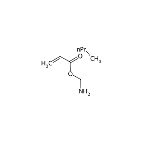 C=CC(=O)OCN.CCCC